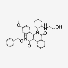 COc1ccc(C2C(C(=O)NOCc3ccccc3)c3ccccc3C(=O)N2C2CCCCC2NCCO)cc1